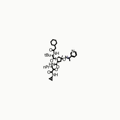 CCC[C@H](NC(=O)[C@@H]1C[C@@](C)(O/N=C(\C)c2cccnc2)CN1C(=O)[C@@H](NC(=O)CC1CCCCC1)C(C)(C)C)C(=O)C(=O)NC1CC1